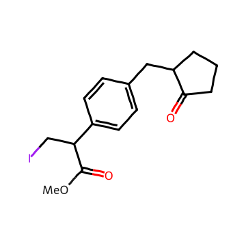 COC(=O)C(CI)c1ccc(CC2CCCC2=O)cc1